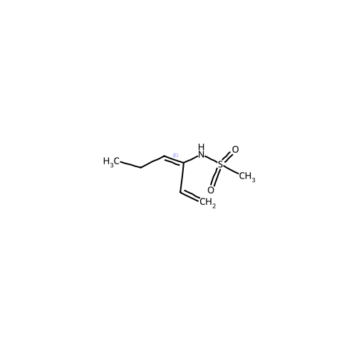 C=C/C(=C\CC)NS(C)(=O)=O